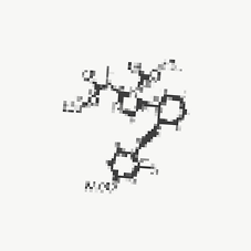 COc1ccc(C#Cc2ccccc2-c2cnc(NC(=O)OC(C)(C)C)n2C(=O)OC(C)(C)C)c(C)c1